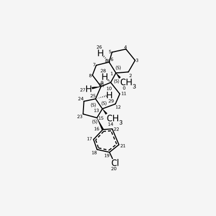 C[C@]12CCCC[C@@H]1CC[C@@H]1[C@@H]2CC[C@]2(C)[C@@H](c3ccc(Cl)cc3)CC[C@@H]12